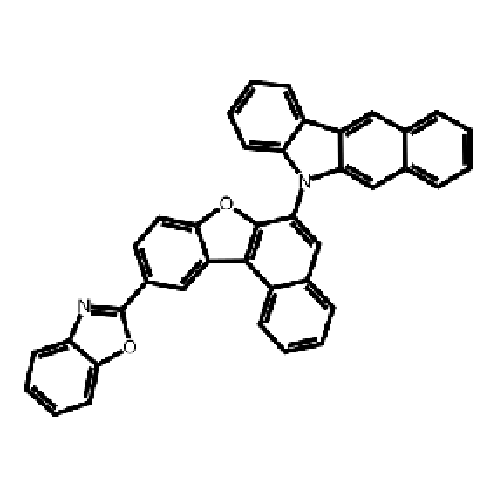 c1ccc2cc3c(cc2c1)c1ccccc1n3-c1cc2ccccc2c2c1oc1ccc(-c3nc4ccccc4o3)cc12